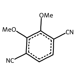 COc1c(C#N)ccc(C#N)c1OC